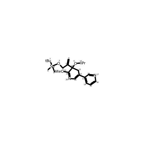 C=C(CO[Si](C)(C)C(C)(C)C)C1(OCCC)CC(c2cccnc2)=CN=C1OC